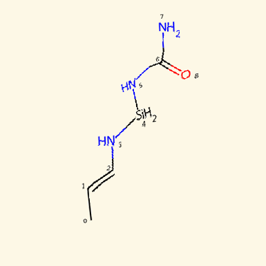 CC=CN[SiH2]NC(N)=O